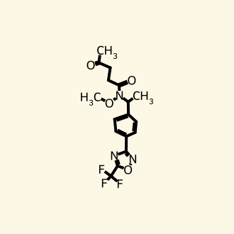 CON(C(=O)CCC(C)=O)C(C)c1ccc(-c2noc(C(F)(F)F)n2)cc1